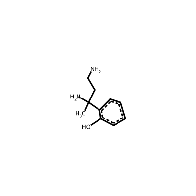 CC(N)(CCN)c1ccccc1O